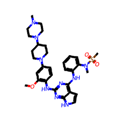 COc1cc(N2CCC(N3CCN(C)CC3)CC2)ccc1Nc1nc(Nc2ccccc2N(C)S(C)(=O)=O)c2cc[nH]c2n1